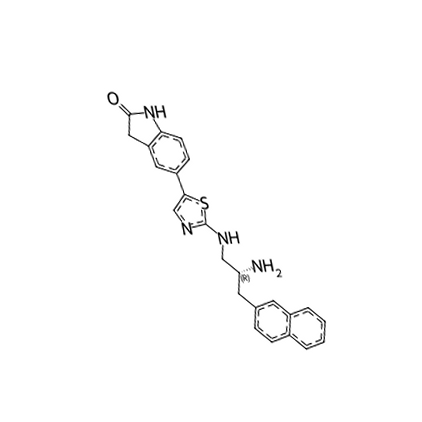 N[C@@H](CNc1ncc(-c2ccc3c(c2)CC(=O)N3)s1)Cc1ccc2ccccc2c1